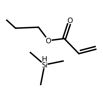 C=CC(=O)OCCC.C[SiH](C)C